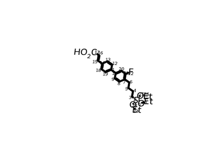 CCO[Si](CCCCc1ccc(-c2ccc(C=CC(=O)O)cc2)cc1F)(OCC)OCC